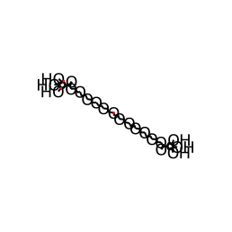 O=C(OCCOCCOCCOCCOCCOCCOCCOCCOCCOCCOCCOC(=O)c1cc(O)c(O)c(O)c1)c1cc(O)c(O)c(O)c1